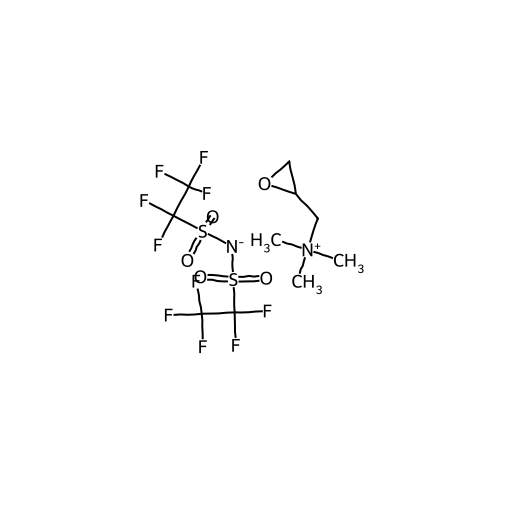 C[N+](C)(C)CC1CO1.O=S(=O)([N-]S(=O)(=O)C(F)(F)C(F)(F)F)C(F)(F)C(F)(F)F